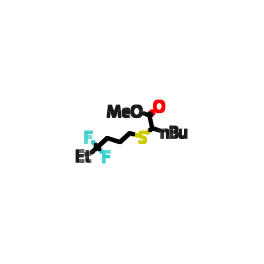 CCCCC(SCCCC(F)(F)CC)C(=O)OC